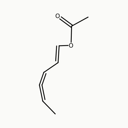 CC=C=CC=COC(C)=O